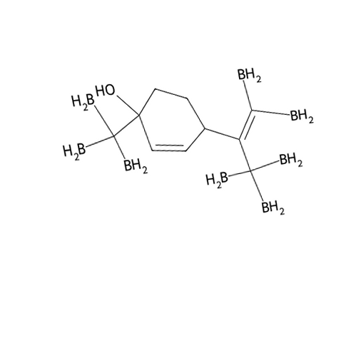 BC(B)=C(C1C=CC(O)(C(B)(B)B)CC1)C(B)(B)B